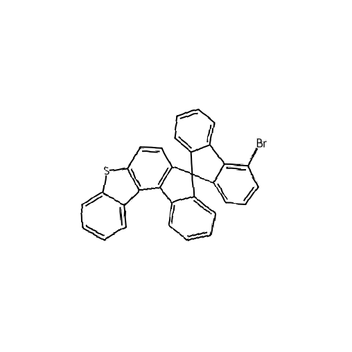 Brc1cccc2c1-c1ccccc1C21c2ccccc2-c2c1ccc1sc3ccccc3c21